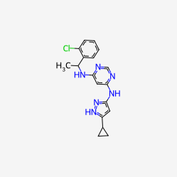 CC(Nc1cc(Nc2cc(C3CC3)[nH]n2)ncn1)c1ccccc1Cl